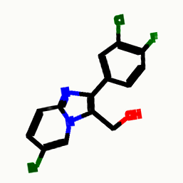 OCc1c(-c2ccc(F)c(Cl)c2)nc2ccc(Br)cn12